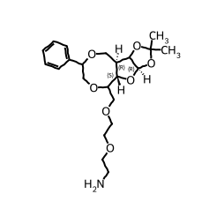 CC1(C)OC2[C@H](O[C@@H]3C(COCCOCCN)OCC(c4ccccc4)OC[C@@H]23)O1